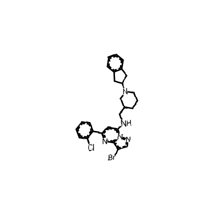 Clc1ccccc1-c1cc(NCC2CCCN(C3Cc4ccccc4C3)C2)n2ncc(Br)c2n1